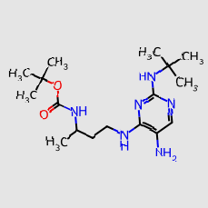 CC(CCNc1nc(NC(C)(C)C)ncc1N)NC(=O)OC(C)(C)C